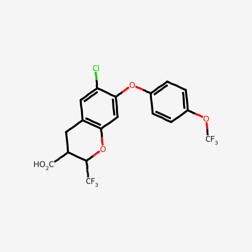 O=C(O)C1Cc2cc(Cl)c(Oc3ccc(OC(F)(F)F)cc3)cc2OC1C(F)(F)F